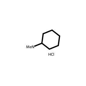 CNC1CCCCC1.Cl